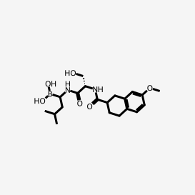 COc1ccc2c(c1)CC(C(=O)N[C@@H](CO)C(=O)NC(CC(C)C)B(O)O)CC2